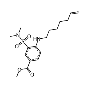 C=CCCCCCNc1ccc(C(=O)OC)cc1S(=O)(=O)N(C)C